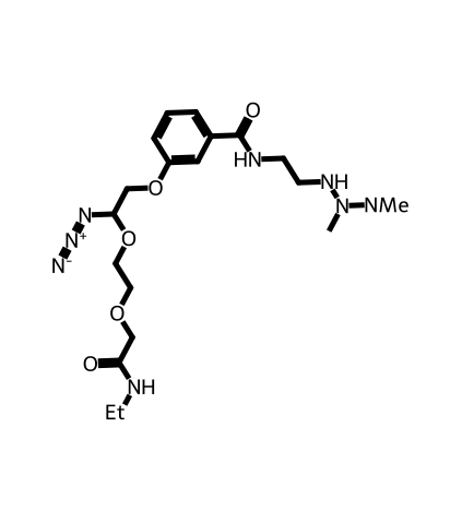 CCNC(=O)COCCOC(COc1cccc(C(=O)NCCNN(C)NC)c1)N=[N+]=[N-]